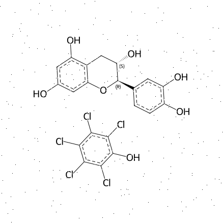 Oc1c(Cl)c(Cl)c(Cl)c(Cl)c1Cl.Oc1cc(O)c2c(c1)O[C@H](c1ccc(O)c(O)c1)[C@@H](O)C2